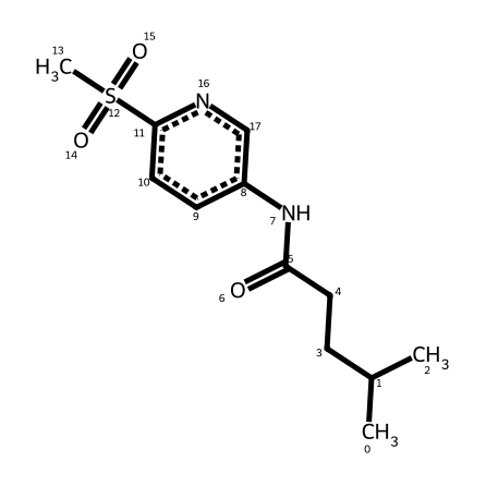 CC(C)CCC(=O)Nc1ccc(S(C)(=O)=O)nc1